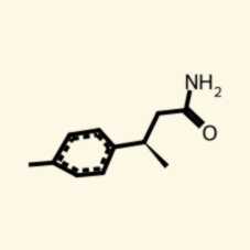 Cc1ccc([C@H](C)CC(N)=O)cc1